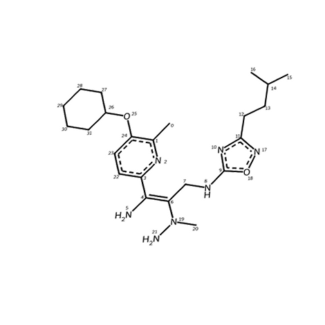 Cc1nc(/C(N)=C(\CNc2nc(CCC(C)C)no2)N(C)N)ccc1OC1CCCCC1